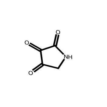 O=C1CNC(=O)C1=O